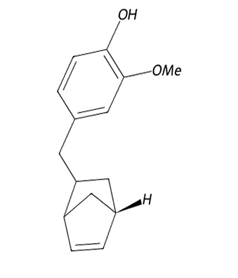 COc1cc(CC2C[C@@H]3C=CC2C3)ccc1O